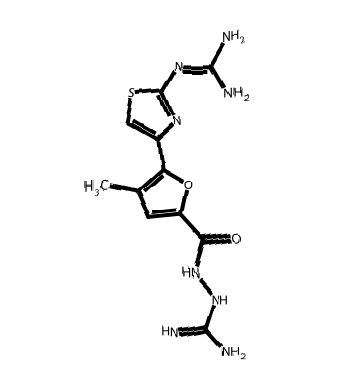 Cc1cc(C(=O)NNC(=N)N)oc1-c1csc(N=C(N)N)n1